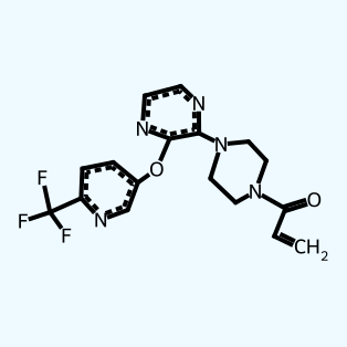 C=CC(=O)N1CCN(c2nccnc2Oc2ccc(C(F)(F)F)nc2)CC1